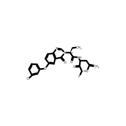 C=C(O)CC(NC(=O)[C@H](CC)n1cnc2ccc(Oc3cccc(Cl)c3)cc2c1=O)C(=O)CF